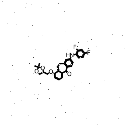 CC1(C)OCC(CO[C@H]2C=CC=C3C(=O)c4ccc(Nc5ccc(F)cc5F)cc4CC=C32)O1